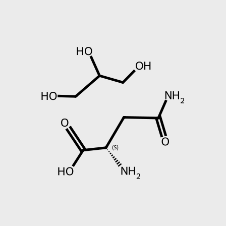 NC(=O)C[C@H](N)C(=O)O.OCC(O)CO